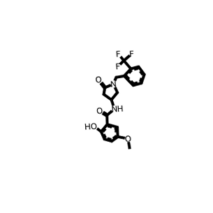 COc1ccc(O)c(C(=O)NC2CC(=O)N(Cc3ccccc3C(F)(F)F)C2)c1